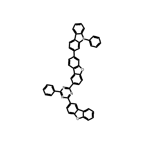 c1ccc(-c2nc(-c3ccc4oc5ccccc5c4c3)nc(-c3ccc4oc5cc(-c6ccc7c8ccccc8n(-c8ccccc8)c7c6)ccc5c4c3)n2)cc1